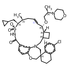 C[C@H](CO[C@H]1/C=C/C[C@H](C)[C@H](CC2CC2)S(=O)(=O)NC(=O)c2ccc3c(c2)N(C[C@@H]2CC[C@H]21)C[C@@]1(CCCc2cc(Cl)ccc21)CO3)N1CCOCC1